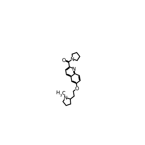 CN1CCCC1CCOc1ccc2nc(C(=O)N3CCCC3)ccc2c1